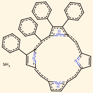 C1=Cc2cc3[nH]c(c(-c4ccccc4)c4nc(cc5ccc(cc1n2)[nH]5)C=C4c1ccccc1)c(-c1ccccc1)c3-c1ccccc1.[SiH4]